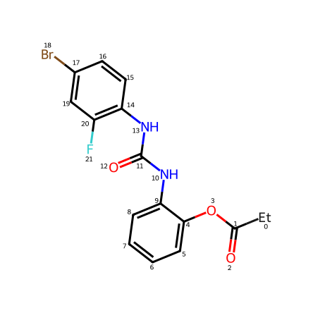 CCC(=O)Oc1ccccc1NC(=O)Nc1ccc(Br)cc1F